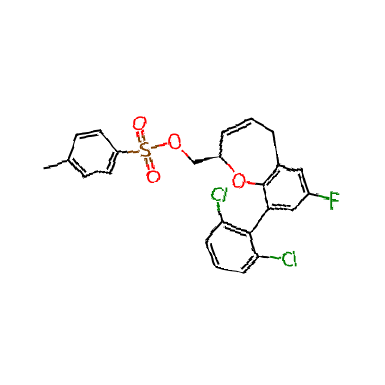 Cc1ccc(S(=O)(=O)OC[C@H]2C=CCc3cc(F)cc(-c4c(Cl)cccc4Cl)c3O2)cc1